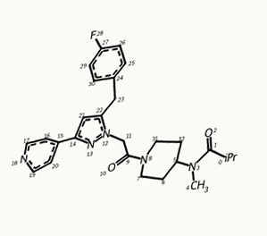 CC(C)C(=O)N(C)C1CCN(C(=O)Cn2nc(-c3ccncc3)cc2Cc2ccc(F)cc2)CC1